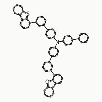 c1ccc(-c2ccc(N(c3ccc(-c4cccc(-c5cccc6c5oc5ccccc56)c4)cc3)c3ccc(-c4cccc(-c5cccc6c5sc5ccccc56)c4)cc3)cc2)cc1